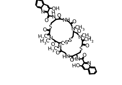 C=C1C(=O)SCC(NC(=O)c2nc3ccccc3cc2O)C(=O)NCC(=O)N(C)C2CSSCC(C(=O)N1C)N(C)C(=O)CNC(=O)C(NC(=O)c1nc3ccccc3cc1O)CSC(=O)C(=C)N(C)C2=O